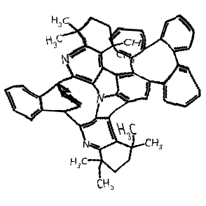 CC1(C)CCC(C)(C)c2c1nc1c3c2c2cc4c(c5c6c7c(nc(c6n3c25)C23C=CC=CC(=C2)C1c1ccccc13)C(C)(C)CCC7(C)C)-c1ccccc1-c1ccccc1-c1ccccc1-4